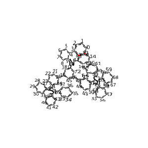 c1ccc(-c2ccccc2N(c2ccccc2)c2cc(-c3cccc([Si](c4ccccc4)(c4ccccc4)c4ccccc4)c3)cc(-c3cccc([Si](c4ccccc4)(c4ccccc4)c4ccccc4)c3)c2)cc1